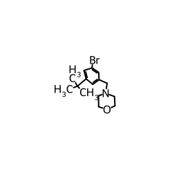 CC(C)(C)c1cc(Br)cc(CN2CCOCC2)c1